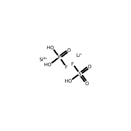 O=P(O)(O)F.O=S(=O)(O)F.[Li+].[Si+4]